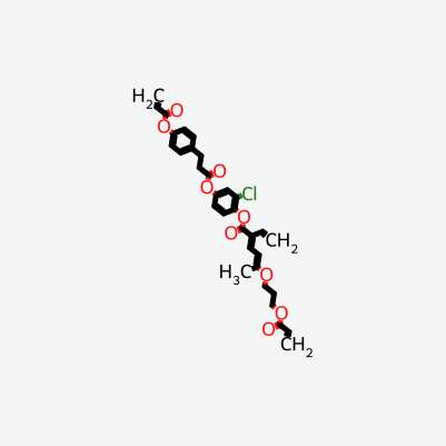 C=CC(=O)OCCCO/C(C)=C/C=C(\C=C)C(=O)Oc1ccc(OC(=O)CCc2ccc(OC(=O)C=C)cc2)cc1Cl